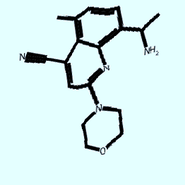 Cc1ccc(C(C)N)c2nc(N3CCOCC3)cc(C#N)c12